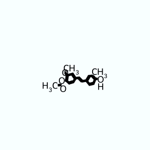 COc1cc(/C=C/c2ccc(O)c(C)c2)ccc1OC(C)=O